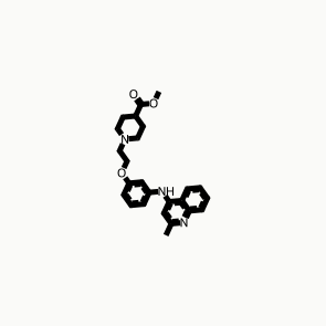 COC(=O)C1CCN(CCOc2cccc(Nc3cc(C)nc4ccccc34)c2)CC1